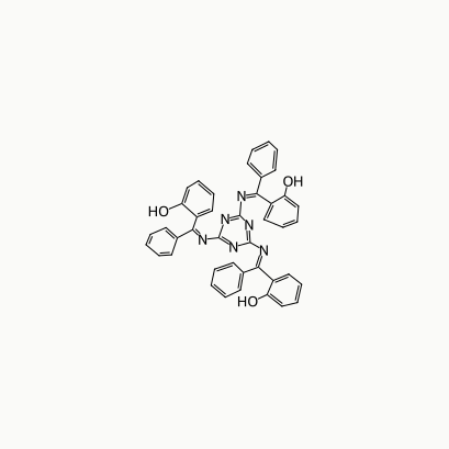 Oc1ccccc1C(=Nc1nc(N=C(c2ccccc2)c2ccccc2O)nc(N=C(c2ccccc2)c2ccccc2O)n1)c1ccccc1